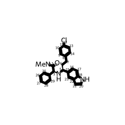 CNC(=O)[C@@H](N[C@@H](CCc1ccc(Cl)cc1)c1ccc2[nH]ccc2c1)c1ccccc1